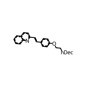 CCCCCCCCCCCCOc1ccc(C=Cc2ccc3ccccc3n2)cc1